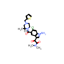 CN(C)C(=O)C(=O)c1cn(N)c2cc(Cl)c(C(=O)N3CCN(Cc4cccs4)CC3(C)C)cc12